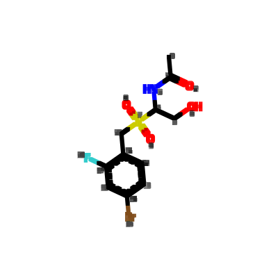 CC(=O)NC(CO)S(=O)(=O)Cc1ccc(Br)cc1F